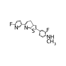 CNc1ccc(C2=CC3CC=C(c4ccc(F)nc4)N=C3S2)cc1F